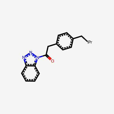 CC(C)Cc1ccc(CC(=O)n2nnc3ccccc32)cc1